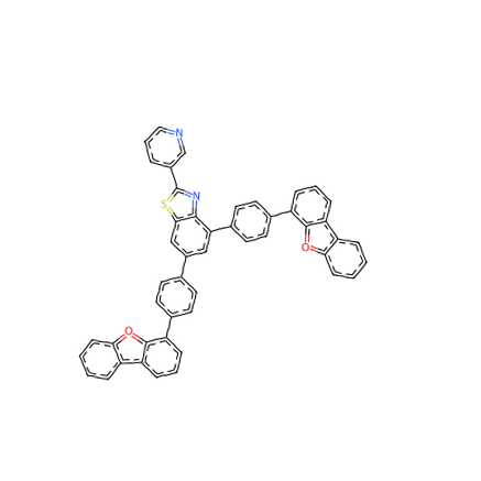 c1cncc(-c2nc3c(-c4ccc(-c5cccc6c5oc5ccccc56)cc4)cc(-c4ccc(-c5cccc6c5oc5ccccc56)cc4)cc3s2)c1